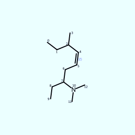 CCC(C)/C=C\CC(CC)N(C)C